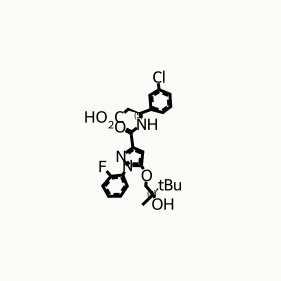 CC(C)(C)[C@@](C)(O)COc1cc(C(=O)N[C@@H](CC(=O)O)c2cccc(Cl)c2)nn1-c1ccccc1F